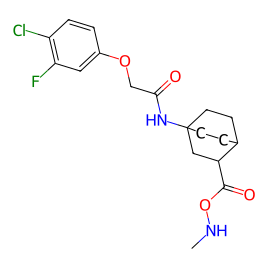 CNOC(=O)C1CC2(NC(=O)COc3ccc(Cl)c(F)c3)CCC1CC2